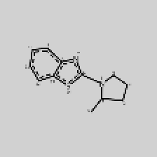 CC1CCCN1c1nc2ccccc2s1